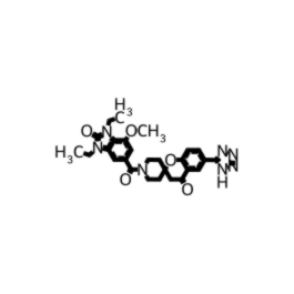 CCn1c(=O)n(CC)c2c(OC)cc(C(=O)N3CCC4(CC3)CC(=O)c3cc(-c5nnn[nH]5)ccc3O4)cc21